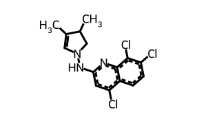 CC1=CN(Nc2cc(Cl)c3ccc(Cl)c(Cl)c3n2)CC1C